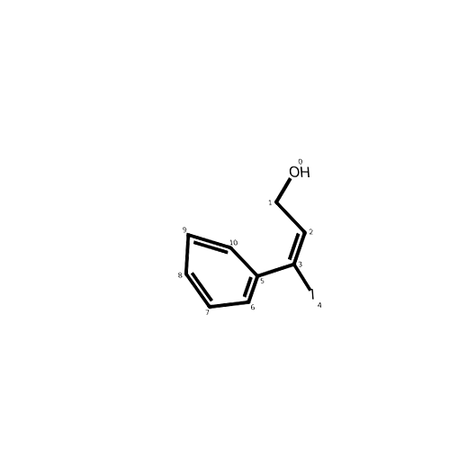 OC/C=C(/I)c1ccccc1